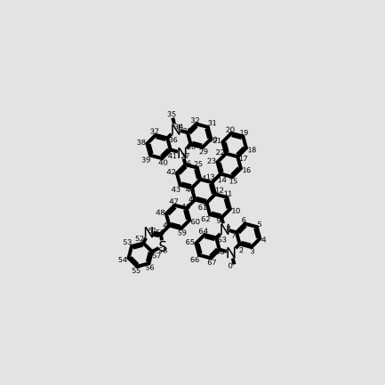 CN1c2ccccc2N(c2ccc3c(-c4ccc5ccccc5c4)c4cc(N5c6ccccc6N(C)c6ccccc65)ccc4c(-c4ccc(-c5nc6ccccc6s5)cc4)c3c2)c2ccccc21